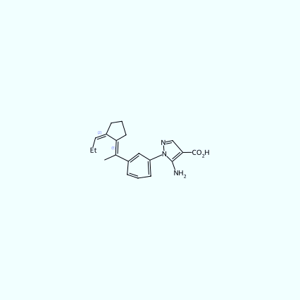 CC/C=C1/CCC/C1=C(/C)c1cccc(-n2ncc(C(=O)O)c2N)c1